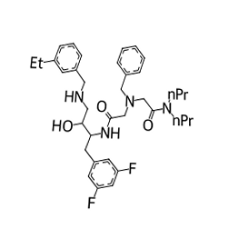 CCCN(CCC)C(=O)CN(CC(=O)NC(Cc1cc(F)cc(F)c1)C(O)CNCc1cccc(CC)c1)Cc1ccccc1